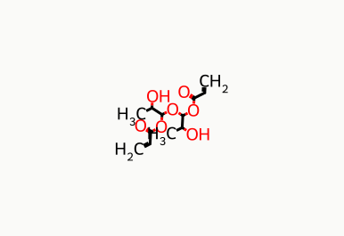 C=CC(=O)OC(OC(OC(=O)C=C)C(C)O)C(C)O